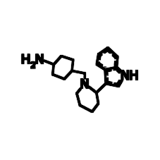 NC1CCC(CN2CCCCC2c2c[nH]c3ccccc23)CC1